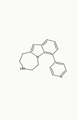 c1cc(-c2ccncc2)c2c(c1)cc1n2CCNCC1